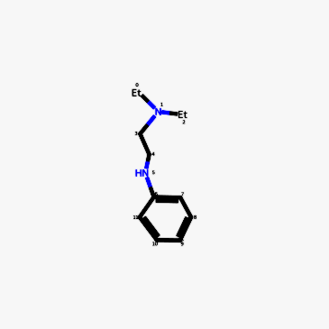 CCN(CC)CCNc1cc[c]cc1